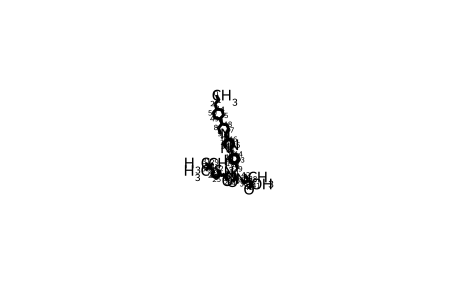 CCCC1CCC(C2CCN(c3cnc(-c4ccc(C[C@H](NC(=O)c5ccc(C(C)(C)C)s5)C(=O)N5CC(C)(C(=O)O)C5)cc4)nc3)CC2)CC1